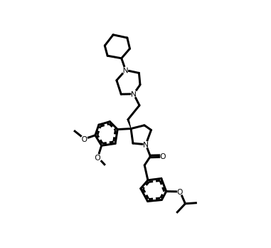 COc1ccc([C@]2(CCN3CCN(C4CCCCC4)CC3)CCN(C(=O)Cc3cccc(OC(C)C)c3)C2)cc1OC